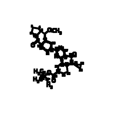 COC[C@H]1CCCN1C(=O)c1ccc(-c2ncc(C(=O)N(C3CC3)C3CCN(C(=O)OC(C)(C)C)CC3)cn2)cc1